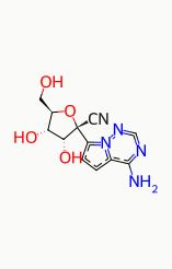 N#C[C@]1(c2ccc3c(N)ncnn23)O[C@H](CO)[C@@H](O)[C@H]1O